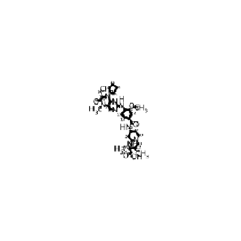 CC[C@@H]1C(=O)N(C)c2cnc(Nc3ccc(C(=O)NC4CCN(CC(C)[C@@](C)(N)C(=O)O)CC4)cc3OC)nc2N1C1CCCC1